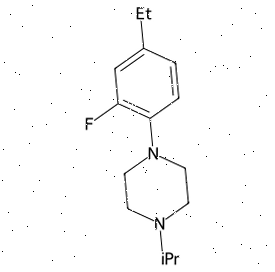 CCc1ccc(N2CCN(C(C)C)CC2)c(F)c1